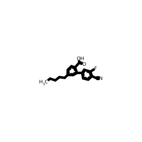 CCCCCc1ccc(C(=O)O)c(-c2ccc(C#N)c(F)c2)c1